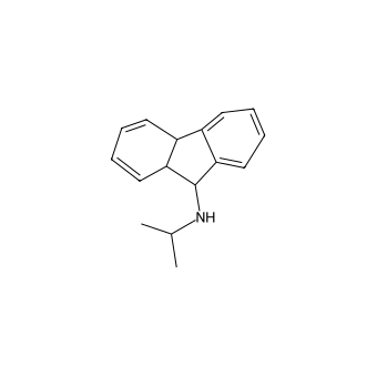 CC(C)NC1c2ccccc2C2C=CC=CC21